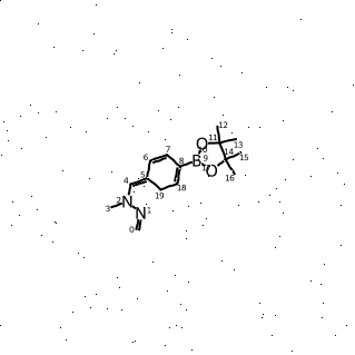 C=NN(C)/C=C1/C=CC(B2OC(C)(C)C(C)(C)O2)=CC1